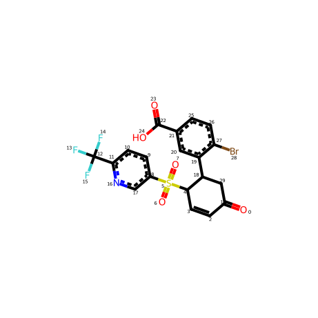 O=C1C=CC(S(=O)(=O)c2ccc(C(F)(F)F)nc2)C(c2cc(C(=O)O)ccc2Br)C1